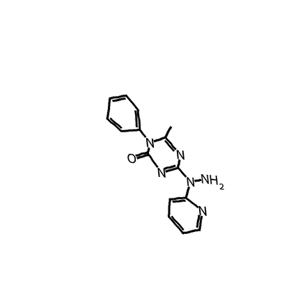 Cc1nc(N(N)c2ccccn2)nc(=O)n1-c1ccccc1